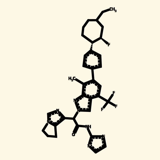 CCC1CCC[C@@H](c2ccc(-c3cc(C(F)(F)F)c4cn(C(C(=O)Nc5nccs5)c5ncn6c5CCC6)nc4c3C)cc2)[C@H](F)C1